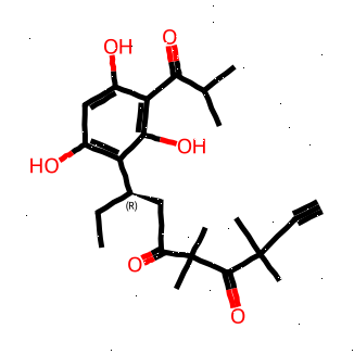 C#CC(C)(C)C(=O)C(C)(C)C(=O)C[C@@H](CC)c1c(O)cc(O)c(C(=O)C(C)C)c1O